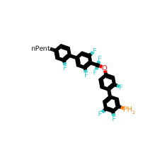 CCCCCc1ccc(-c2cc(F)c(C(F)(F)Oc3ccc(-c4cc(F)c(F)c(P)c4)c(F)c3)c(F)c2)c(F)c1